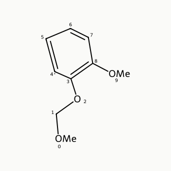 COCOc1[c]cccc1OC